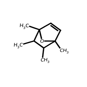 CC1C(C)C2(C)C=CC1(C)O2